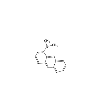 CN(C)c1cc[c]c2cc3ccccc3cc12